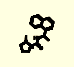 CC(NC(=O)[C@H]1CCCN1C)c1cccc2ccccc12